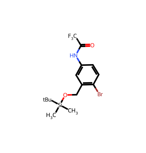 CC(C)(C)[Si](C)(C)OCc1cc(NC(=O)C(F)(F)F)ccc1Br